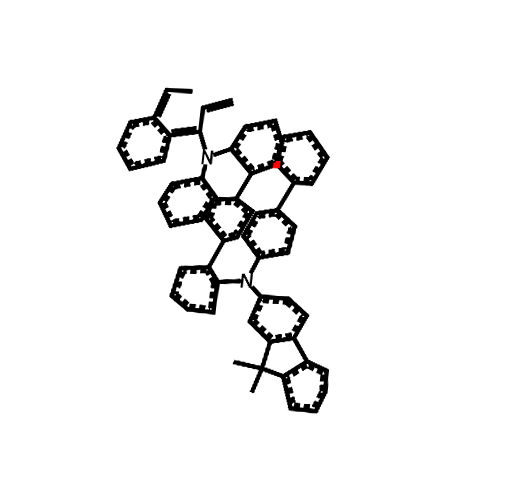 C=C/C(=c1/cccc/c1=C/C)N(c1ccccc1)c1ccccc1-c1ccc(-c2ccccc2N(c2ccc(-c3ccccc3)cc2)c2ccc3c(c2)C(C)(C)c2ccccc2-3)cc1